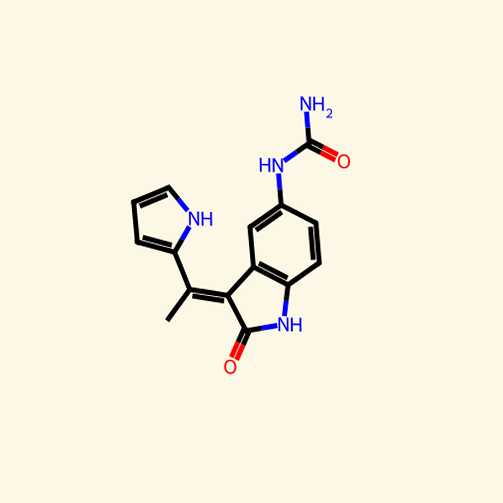 CC(=C1C(=O)Nc2ccc(NC(N)=O)cc21)c1ccc[nH]1